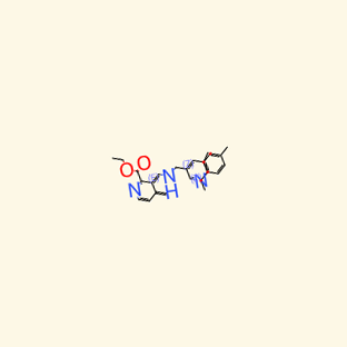 C=c1ccnc(C(=O)OCC)/c1=C/NCC(/C=N\c1ccc(C)cc1)=C/C(C)CCC